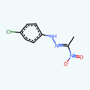 C/C(=N\Nc1ccc(Cl)cc1)[N+](=O)[O-]